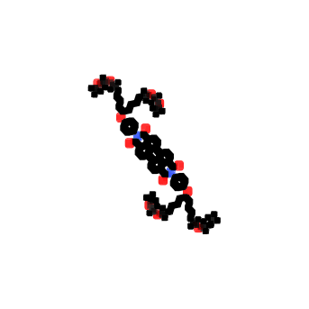 C[Si](C)(C)C[Si](C)(C)O[Si](C)(C)CCCCC(CCCC[Si](C)(C)O[Si](C)(C)O[Si](C)(C)C)Oc1ccc(N2C(=O)c3ccc4c5ccc6c7c(ccc(c8ccc(c3c48)C2=O)c75)C(=O)N(c2ccc(OC(CCCC[Si](C)(C)O[Si](C)(C)O[Si](C)(C)C)CCCC[Si](C)(C)O[Si](C)(C)O[Si](C)(C)C)cc2)C6=O)cc1